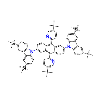 CC(C)(C)c1ccc(-c2c3ccc(-n4c5ccc([Si](C)(C)C)cc5c5cc([Si](C)(C)C)ccc54)cc3c(-c3ccc(C(C)(C)C)cn3)c3ccc(-n4c5ccc([Si](C)(C)C)cc5c5cc([Si](C)(C)C)ccc54)cc23)nc1